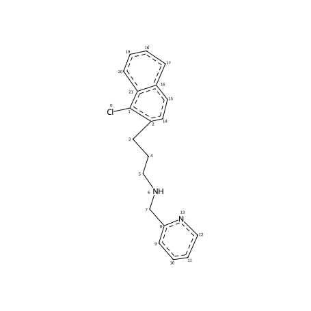 Clc1c(CCCNCc2ccccn2)ccc2ccccc12